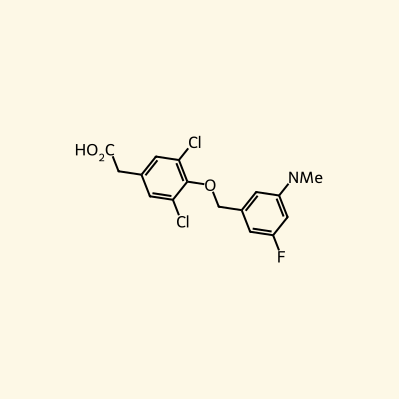 CNc1cc(F)cc(COc2c(Cl)cc(CC(=O)O)cc2Cl)c1